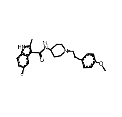 COc1ccc(CCN2CCC(NC(=O)c3c(C)[nH]c4ccc(F)cc34)CC2)cc1